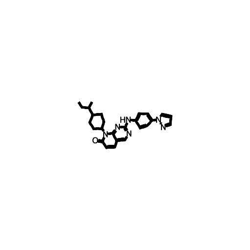 CCC(C)C1CCC(n2c(=O)ccc3cnc(Nc4ccc(-n5cccn5)cc4)nc32)CC1